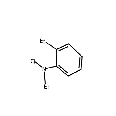 CCc1ccccc1N(Cl)CC